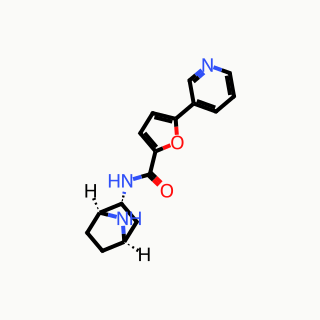 O=C(N[C@@H]1C[C@H]2CC[C@@H]1N2)c1ccc(-c2cccnc2)o1